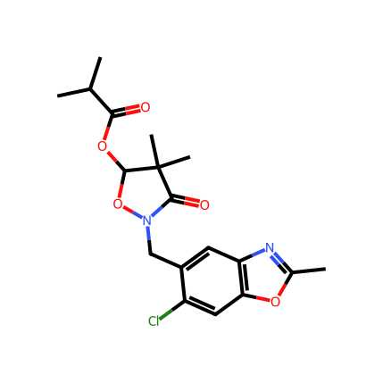 Cc1nc2cc(CN3OC(OC(=O)C(C)C)C(C)(C)C3=O)c(Cl)cc2o1